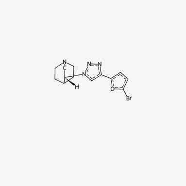 Brc1ccc(-c2cn([C@H]3CN4CCC3CC4)nn2)o1